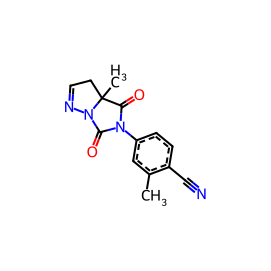 Cc1cc(N2C(=O)N3N=CCC3(C)C2=O)ccc1C#N